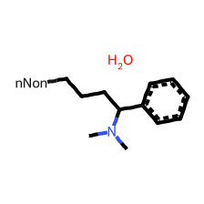 CCCCCCCCCCCCC(c1ccccc1)N(C)C.O